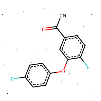 N#CC(=O)c1ccc(F)c(Oc2ccc(F)cc2)c1